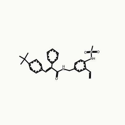 C=Cc1cc(CNC(=O)/C(=C/c2ccc(C(C)(C)C)cc2)c2ccccc2)ccc1NS(C)(=O)=O